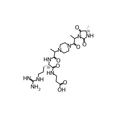 CC(C(=O)N[C@@H](CCCNC(=N)N)C(=O)NCCC(=O)O)N1CCN(C(=O)C(C)N2C(=O)N[C@@H](C)C2=O)CC1